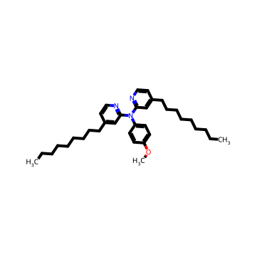 CCCCCCCCCc1ccnc(N(c2ccc(OC)cc2)c2cc(CCCCCCCCC)ccn2)c1